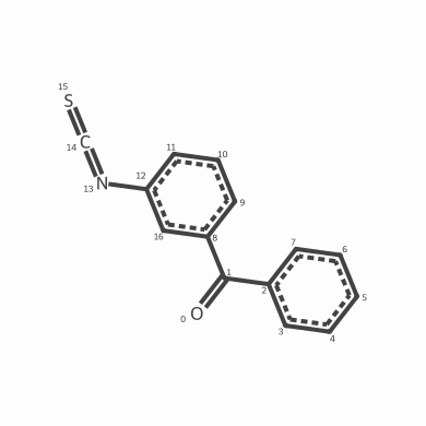 O=C(c1ccccc1)c1cccc(N=C=S)c1